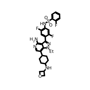 CCn1nc(-c2cc(F)c(NS(=O)(=O)c3ccccc3F)cc2F)c2c(N)ncc(C3CCC(NC4COC4)CC3)c21